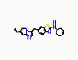 C=Cc1ccn2c(Cc3ccc4nc(NC5CCCCC5)sc4c3)cnc2c1